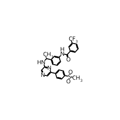 C[C@H](Nc1cncc(-c2ccc(S(C)(=O)=O)cc2)n1)c1cccc(NC(=O)c2cccc(C(F)(F)F)c2)c1